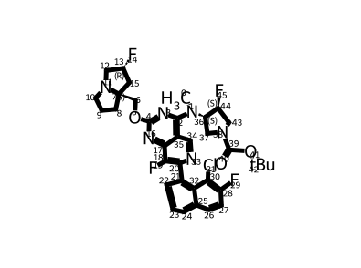 CN(c1nc(OC[C@@]23CCCN2C[C@H](F)C3)nc2c(F)c(-c3cccc4ccc(F)c(Cl)c34)ncc12)[C@H]1CN(C(=O)OC(C)(C)C)C[C@@H]1F